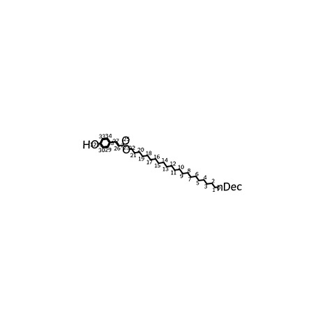 CCCCCCCCCCCCCCCCCCCCCCCCCCCCCCCCOC(=O)/C=C/c1ccc(O)cc1